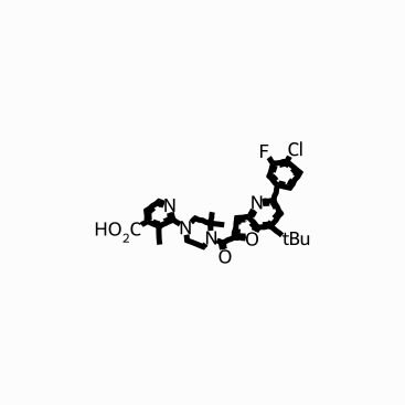 Cc1c(C(=O)O)ccnc1N1CCN(C(=O)c2cc3nc(-c4ccc(Cl)c(F)c4)cc(C(C)(C)C)c3o2)C(C)(C)C1